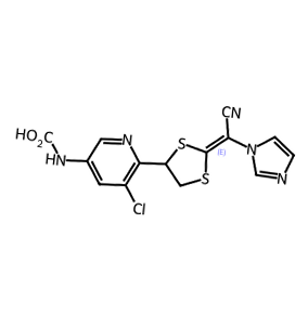 N#C/C(=C1/SCC(c2ncc(NC(=O)O)cc2Cl)S1)n1ccnc1